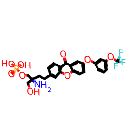 NC(CO)(CCc1ccc2c(=O)c3cc(Oc4cccc(OC(F)(F)F)c4)ccc3oc2c1)COP(=O)(O)O